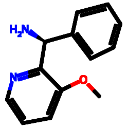 COc1cccnc1[C@@H](N)c1ccccc1